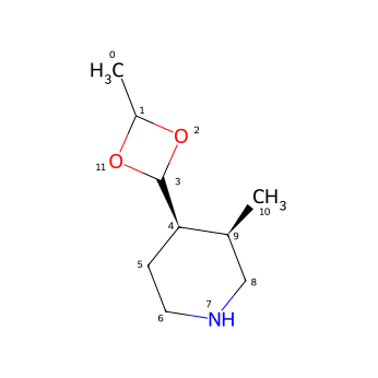 CC1OC([C@@H]2CCNC[C@@H]2C)O1